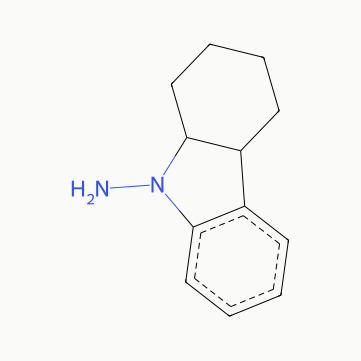 NN1c2ccccc2C2CCCCC21